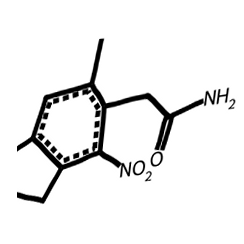 Cc1cc2c(c([N+](=O)[O-])c1CC(N)=O)CCC2